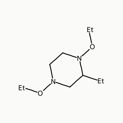 CCON1CCN(OCC)C(CC)C1